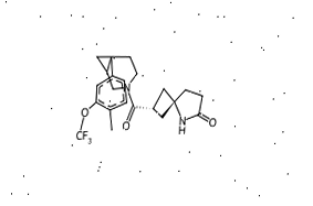 Cc1ccc(C23CCN(C(=O)[C@H]4C[C@]5(CCC(=O)N5)C4)CC2C3)cc1OC(F)(F)F